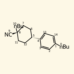 CCCCc1ccc([C@H]2CC[C@@](C#N)(CCCC)CC2)cc1